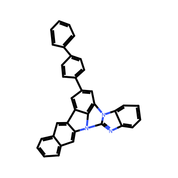 c1ccc(-c2ccc(-c3cc4c5cc6ccccc6cc5n5c4c(c3)n3c4ccccc4nc35)cc2)cc1